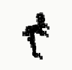 COCCOCCOCC(=O)OCOc1c(O)ccnc1C(=O)N[C@@H](COC)C(=O)OC(C)CC(C=O)Cc1ccccc1